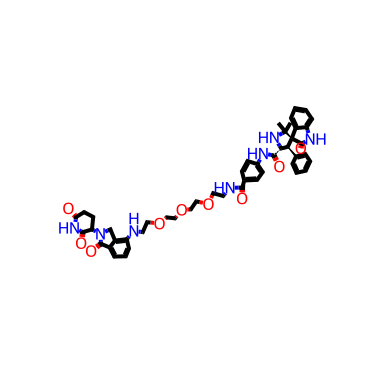 CC1(C)N[C@@H](C(=O)Nc2ccc(C(=O)NCCOCCOCCOCCNc3cccc4c3CN(C3CCC(=O)NC3=O)C4=O)cc2)[C@H](c2ccccc2)[C@]12C(=O)Nc1ccccc12